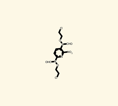 O=CN(OCCCl)c1ccc(N(C=O)OCCCl)c([N+](=O)[O-])n1